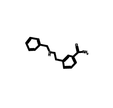 NC(=O)c1cccc(CCNCc2ccccc2)c1